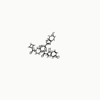 CN1CCc2nc(C(=O)N[C@@H]3CN(C(=O)C4CCC4)CC[C@@H]3NC(=O)c3cc4cc(Cl)ccc4[nH]3)sc2C1